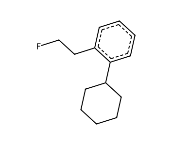 FCCc1ccccc1C1CCCCC1